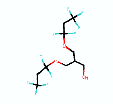 OCC(COC(F)(F)CC(F)(F)F)COC(F)(F)CC(F)(F)F